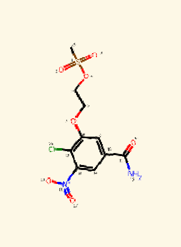 CS(=O)(=O)OCCOc1cc(C(N)=O)cc([N+](=O)[O-])c1Cl